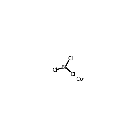 [Cl][Bi]([Cl])[Cl].[Co]